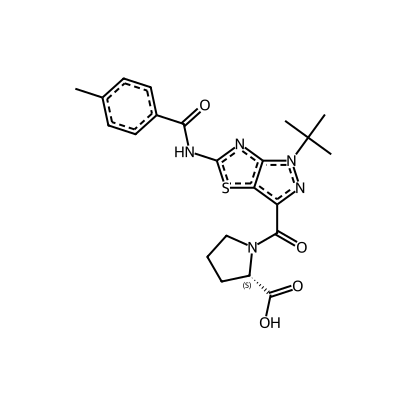 Cc1ccc(C(=O)Nc2nc3c(s2)c(C(=O)N2CCC[C@H]2C(=O)O)nn3C(C)(C)C)cc1